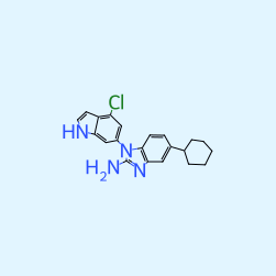 Nc1nc2cc(C3CCCCC3)ccc2n1-c1cc(Cl)c2cc[nH]c2c1